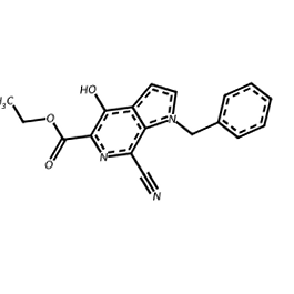 CCOC(=O)c1nc(C#N)c2c(ccn2Cc2ccccc2)c1O